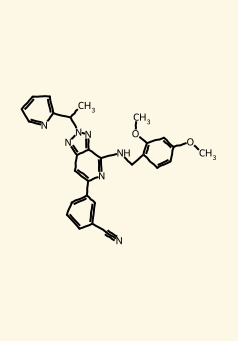 COc1ccc(CNc2nc(-c3cccc(C#N)c3)cc3nn(C(C)c4ccccn4)nc23)c(OC)c1